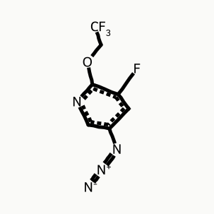 [N-]=[N+]=Nc1cnc(OCC(F)(F)F)c(F)c1